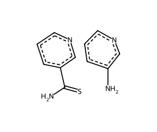 NC(=S)c1cccnc1.Nc1cccnc1